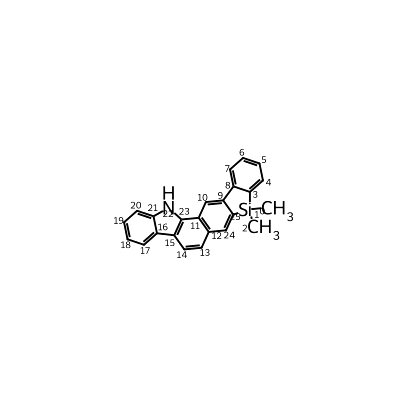 C[Si]1(C)c2ccccc2-c2cc3c(ccc4c5ccccc5[nH]c34)cc21